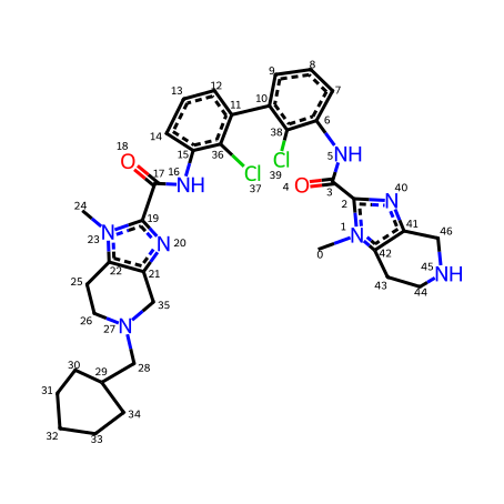 Cn1c(C(=O)Nc2cccc(-c3cccc(NC(=O)c4nc5c(n4C)CCN(CC4CCCCC4)C5)c3Cl)c2Cl)nc2c1CCNC2